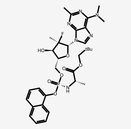 Cc1nc(N(C)C)c2ncn([C@@H]3O[C@H](CO[P@@](=O)(N[C@@H](C)C(=O)OCC(C)(C)C)Oc4cccc5ccccc45)[C@@H](O)[C@@]3(C)F)c2n1